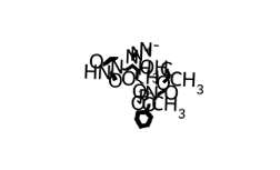 CC(C)OC(=O)[C@H](C)N[P@](=O)(OC[C@H]1O[C@@H](n2ccc(=O)[nH]c2=O)[C@H](N=[N+]=[N-])[C@@H]1O)Oc1ccccc1